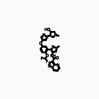 CN1CC(O)C(n2cc(Oc3ccc(OC(F)F)c(-c4nn(C)cc4NC(=O)c4cnn5cccnc45)c3)cn2)C1